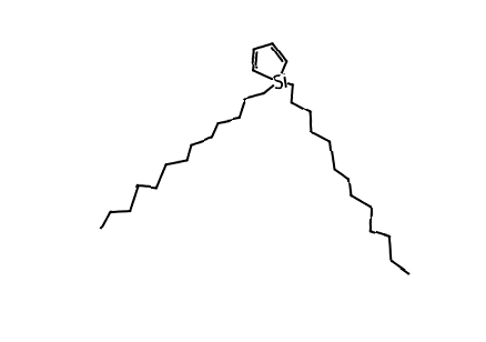 CCCCCCCCCCCCC[Si]1(CCCCCCCCCCCCC)C=CC=C1